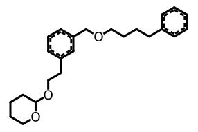 c1ccc(CCCCOCc2cccc(CCOC3CCCCO3)c2)cc1